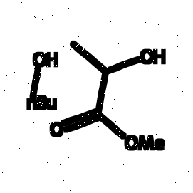 CCCCO.COC(=O)C(C)O